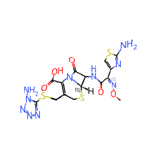 CO/N=C(\C(=O)NC1C(=O)N2C(C(=O)O)=C(CSc3nnnn3N)CS[C@@H]12)c1csc(N)n1